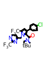 CN(CC(C)(C)C)C(=O)c1c(-c2ccc(Cl)cc2)cc(C(F)(F)F)n1Cc1ccnc(C(F)(F)F)n1